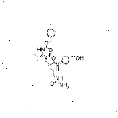 CC(C)[C@H](NC(=O)OCc1ccccc1)/C(F)=C/[C@@H](CCCNC(N)=O)C(=O)Nc1ccc(CO)cc1